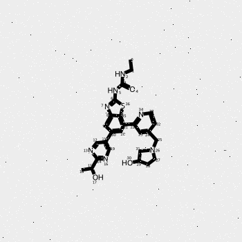 CCNC(=O)Nc1nc2cc(-c3cnc(C(C)O)nc3)cc(-c3cc(CN4CCC(O)C4)ccn3)c2s1